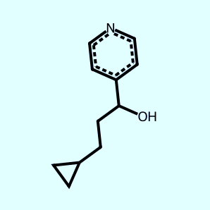 OC(CCC1CC1)c1ccncc1